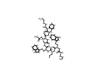 CCCN(CC(=O)N(CCc1c[nH]c2ccccc12)CC(=O)NCCS)C(=O)CN(CCc1c[nH]c2ccccc12)C(=O)CN(C)C(=O)CN(CCC(=O)O)C(=O)CN(Cc1cccnc1)C(=O)CNCCCN